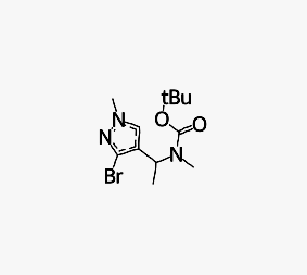 CC(c1cn(C)nc1Br)N(C)C(=O)OC(C)(C)C